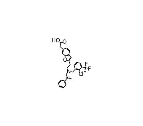 C[C@H](CN(CCc1cc2ccc(CC(=O)O)cc2o1)Cc1cccc(C(F)(F)F)c1Cl)c1ccccc1